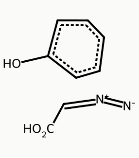 Oc1ccccc1.[N-]=[N+]=CC(=O)O